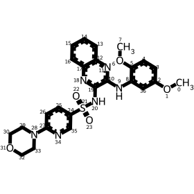 COc1ccc(OC)c(Nc2nc3ccccc3nc2NS(=O)(=O)c2ccc(N3CCOCC3)nc2)c1